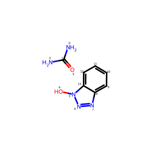 NC(N)=O.On1nnc2ccccc21